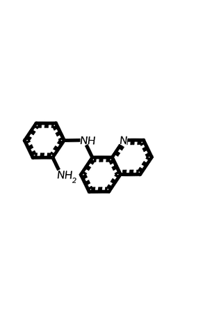 Nc1ccccc1Nc1cccc2cccnc12